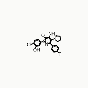 Nc1c(N2CCCC2)c(-c2ccc(F)cc2)nn(-c2ccc(Cl)c(O)c2)c1=O